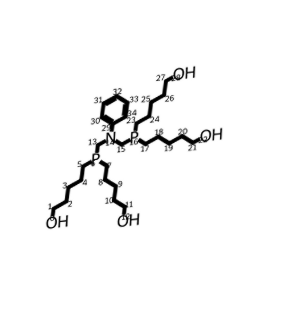 OCCCCCP(CCCCCO)CN(CP(CCCCCO)CCCCCO)c1ccccc1